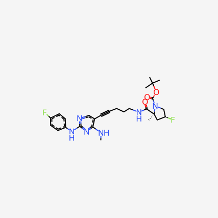 CNc1nc(Nc2ccc(F)cc2)ncc1C#CCCCNC(=O)[C@]1(C)C[C@H](F)CN1C(=O)OC(C)(C)C